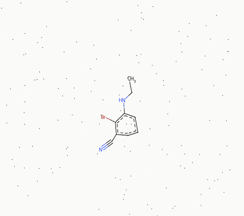 CCNc1cccc(C#N)c1Br